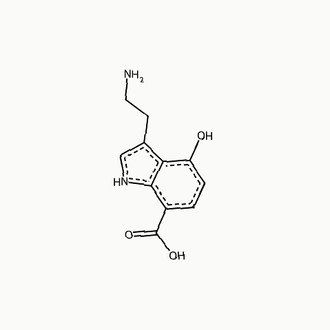 NCCc1c[nH]c2c(C(=O)O)ccc(O)c12